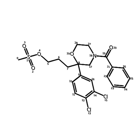 CS(=O)(=O)OCCCC1(c2ccc(Cl)c(Cl)c2)CN(C(=O)c2ccccc2)CCO1